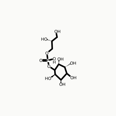 O=P(O)(OC[C@H](O)CO)OC1[C@H](O)[C@H](O)C(O)[C@H](O)[C@H]1O